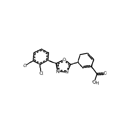 O=C(O)C1=CC(c2nnc(-c3cccc(Cl)c3Cl)o2)CC=C1